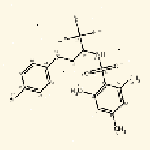 Cc1cc(C)c(S(=O)(=O)NC(CSc2ccc(Br)cc2)C(F)(F)F)c(C)c1